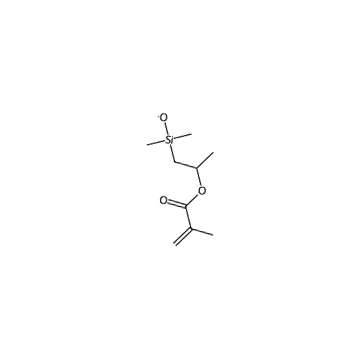 C=C(C)C(=O)OC(C)C[Si](C)(C)[O]